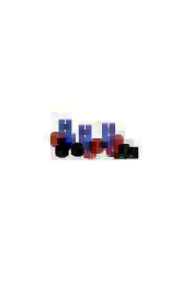 CC(C)(C)OC(=O)NCCOCC(=O)Nc1cccc(-c2n[nH]c(=O)c3ccccc23)c1